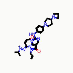 C=CCn1c(=O)c2cnc(Nc3ccc(N4CCC(N5CCC5)CC4)cc3)nc2n1C(/C=C\C=O)=N/N(C)C(C)C